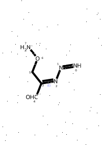 N=N/N=C(/C=O)CON